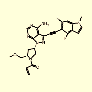 C=CC(=O)N1C[C@@H](n2nc(C#Cc3c(F)cc4c(ccn4C)c3F)c3c(N)ncnc32)C[C@@H]1COC